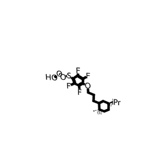 CC(C)[C@H]1CC[C@H](C)C(CCCOc2c(F)c(F)c(SOOO)c(F)c2F)C1